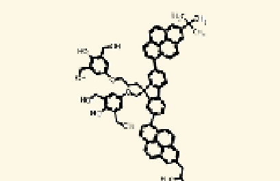 CC(C)Cc1cc2ccc3ccc(-c4ccc5c(c4)C(CCCOc4cc(CO)c(O)c(CO)c4)(COc4cc(CO)c(O)c(CO)c4)c4cc(-c6ccc7ccc8cc(C(C)(C)C)cc9ccc6c7c89)ccc4-5)c4ccc(c1)c2c34